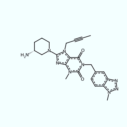 CC#CCn1c(N2CCC[C@@H](N)C2)nc2c1c(=O)n(Cc1ccc3c(c1)nnn3C)c(=O)n2C